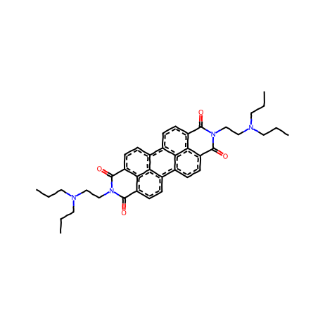 CCCN(CCC)CCN1C(=O)c2ccc3c4ccc5c6c(ccc(c7ccc(c2c37)C1=O)c64)C(=O)N(CCN(CCC)CCC)C5=O